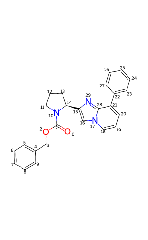 O=C(OCc1ccccc1)N1CCC[C@H]1c1cn2cccc(-c3ccccc3)c2n1